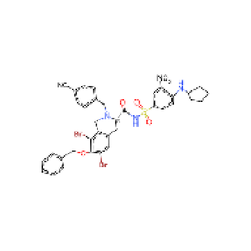 N#Cc1ccc(CN2Cc3c(cc(Br)c(OCc4ccccc4)c3Br)C[C@H]2C(=O)NS(=O)(=O)c2ccc(NC3CCCC3)c([N+](=O)[O-])c2)cc1